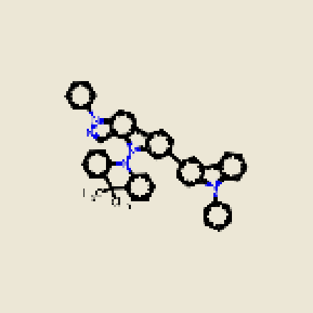 CC1(C)c2ccccc2N(n2c3cc(-c4ccc5c(c4)c4ccccc4n5-c4ccccc4)ccc3c3ccc4c(cnn4-c4ccccc4)c32)c2ccccc21